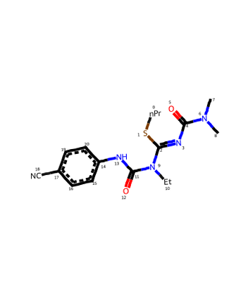 CCCSC(=NC(=O)N(C)C)N(CC)C(=O)Nc1ccc(C#N)cc1